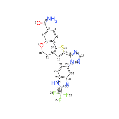 NC(=O)c1ccc2c(c1)OCCc1cc(-c3ncnn3-c3ccc4[nH]c(C(F)(F)F)nc4c3)sc1-2